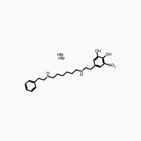 Br.Br.O=[N+]([O-])c1cc(CCNCCCCCCNCCc2ccccc2)cc(O)c1O